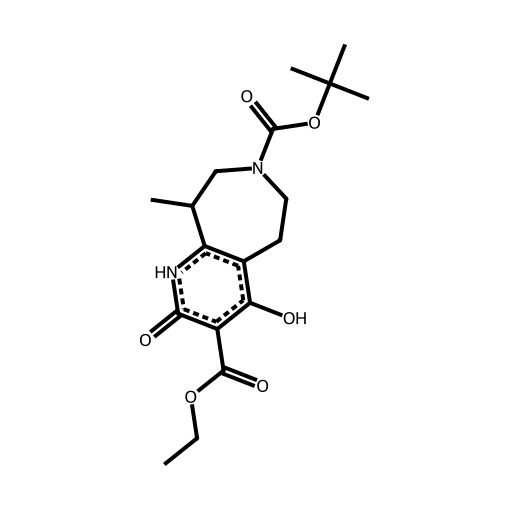 CCOC(=O)c1c(O)c2c([nH]c1=O)C(C)CN(C(=O)OC(C)(C)C)CC2